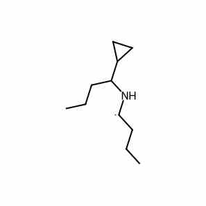 CCC[CH]NC(CCC)C1CC1